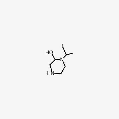 CC(I)N1CCNCC1O